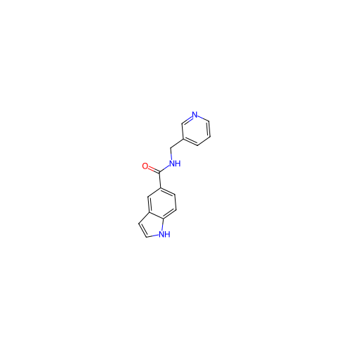 O=C(NCc1cccnc1)c1ccc2[nH]ccc2c1